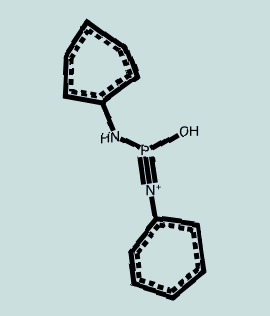 OP(#[N+]c1ccccc1)Nc1ccccc1